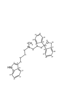 CN(CCCCc1c[nH]c2ccccc12)CCCC1(c2ccccc2)OCc2ccccc21